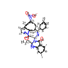 Cc1nc2ccccc2c(=O)n1C1N=C(c2ccccc2)c2cc([N+](=O)[O-])cc3c2N(CC3)C1=O